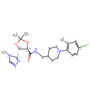 Cn1cnnc1[C@@H]1OC(C)(C)O[C@H]1C(=O)NCC1CCN(c2ccc(F)cc2C#N)CC1